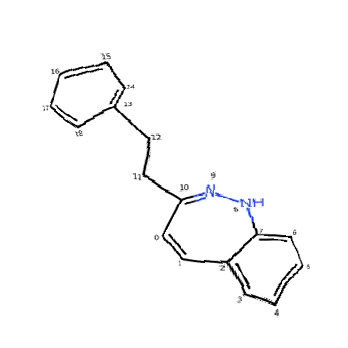 C1=Cc2ccccc2NN=C1CCc1ccccc1